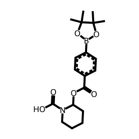 CC1(C)OB(c2ccc(C(=O)OC3CCCCN3C(=O)O)cc2)OC1(C)C